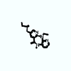 C=C(CC)Cc1cnc2c(c1)C(=C)N(C)c1cccnc1N2CC